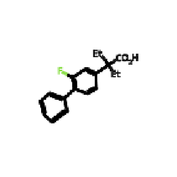 CCC(CC)(C(=O)O)c1ccc(-c2ccccc2)c(F)c1